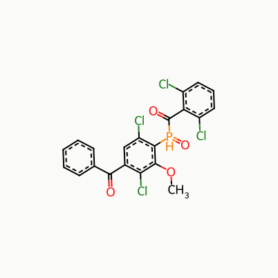 COc1c(Cl)c(C(=O)c2ccccc2)cc(Cl)c1[PH](=O)C(=O)c1c(Cl)cccc1Cl